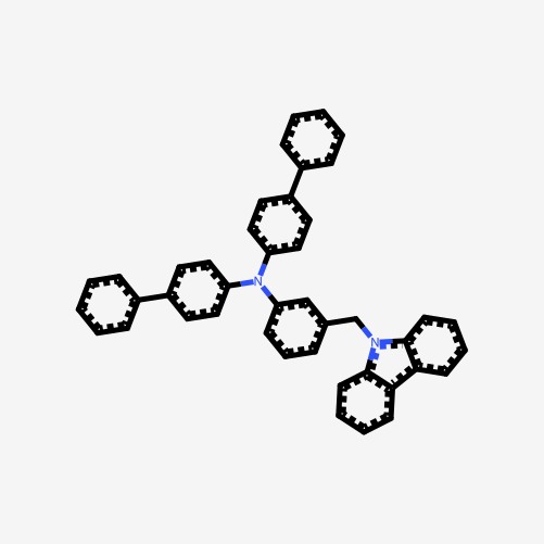 c1ccc(-c2ccc(N(c3ccc(-c4ccccc4)cc3)c3cccc(Cn4c5ccccc5c5ccccc54)c3)cc2)cc1